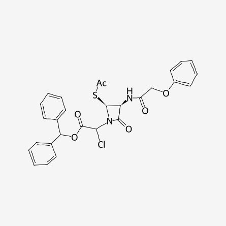 CC(=O)S[C@H]1[C@@H](NC(=O)COc2ccccc2)C(=O)N1C(Cl)C(=O)OC(c1ccccc1)c1ccccc1